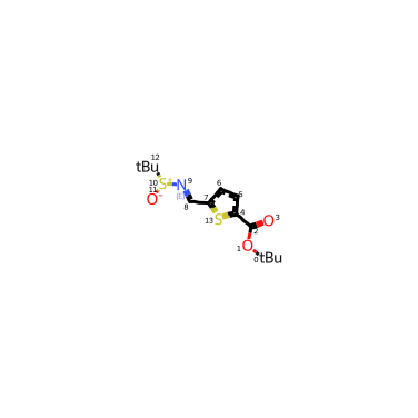 CC(C)(C)OC(=O)c1ccc(/C=N/[S+]([O-])C(C)(C)C)s1